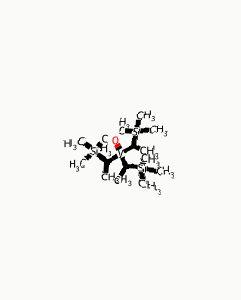 C[CH]([Si](C)(C)C)[V](=[O])([CH](C)[Si](C)(C)C)[CH](C)[Si](C)(C)C